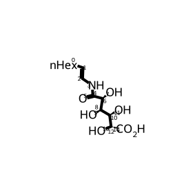 CCCCCCC=CNC(=O)[C@@H](O)[C@H](O)[C@@H](O)[C@@H](O)C(=O)O